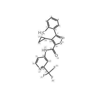 Cc1ccccc1-c1nsc(C(=O)Nc2ccnc(C(F)(F)F)c2)c1C1CC1